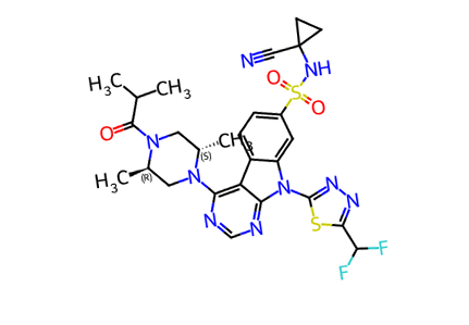 CC(C)C(=O)N1C[C@H](C)N(c2ncnc3c2c2ccc(S(=O)(=O)NC4(C#N)CC4)cc2n3-c2nnc(C(F)F)s2)C[C@H]1C